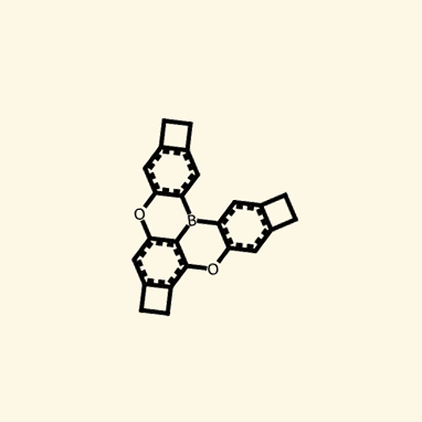 c1c2c(cc3c1Oc1cc4c(c5c1B3c1cc3c(cc1O5)CC3)CC4)CC2